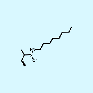 C=CC(C)[S+]([O-])NCCCCCCCC